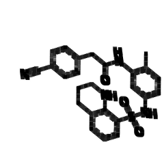 Cc1ccc(NS(=O)(=O)c2cccc3c2NCCC3)cc1NC(=O)Cc1ccc(C#N)cc1